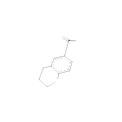 CCCCC(=O)c1ccc2c(c1)CCCS2